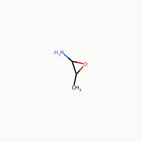 CC1OC1N